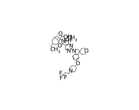 CCC1CC2CC(C1)C(NC(=O)c1cnc(N3CC4(CCOCC4)c4cc(OC5CCN(CCC(F)(F)F)CC5)ccc43)nc1C(C)(F)F)(C(=O)O)C2